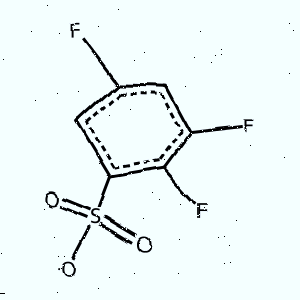 [O]S(=O)(=O)c1cc(F)cc(F)c1F